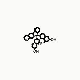 CCCc1cc(O)cc2ccc(C3(c4ccc5cc(O)ccc5c4)c4ccccc4-c4cc5ccccc5cc43)cc12